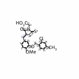 COc1ccc(/C=C2\SC(=S)N(CC(=O)O)C2=O)cc1OCc1ccc(C)cc1Cl